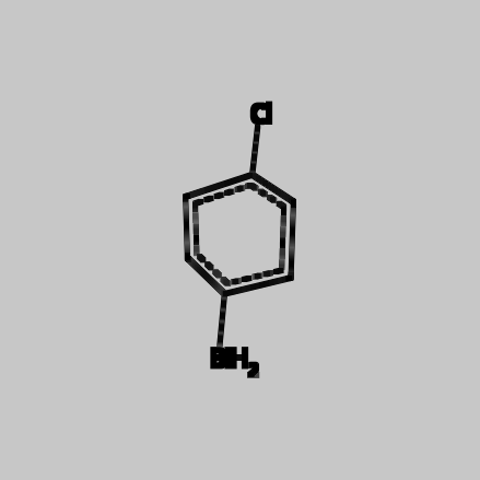 Clc1cc[c]([BiH2])cc1